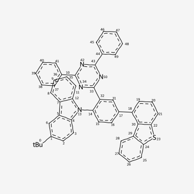 CC(C)(C)c1ccc2c(c1)c1ccccc1n2-c1ccc(-c2cccc3sc4ccccc4c23)cc1-c1nc(-c2ccccc2)nc(-c2ccccc2)n1